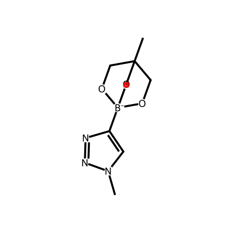 Cn1cc([B-]23OCC(C)(CO2)CO3)nn1